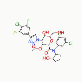 CC(=O)O[C@@H]1[C@@H](n2cc(-c3cc(F)c(Cl)c(F)c3)nn2)[C@@H](O)[C@@H](CO)O[C@H]1C(=O)N(c1cc(Cl)cc(Cl)c1)[C@H]1CCC[C@@H]1O